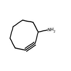 NC1C#CCCCCC1